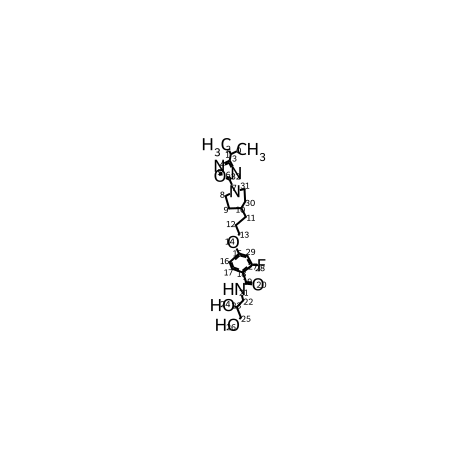 CC(C)c1noc(N2CCC(CCCOc3ccc(C(=O)NCC(O)CO)c(F)c3)CC2)n1